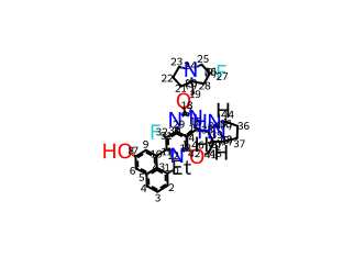 CCc1cccc2cc(O)cc(-c3nc4c5c(nc(OC[C@@]67CCCN6C[C@H](F)C7)nc5c3F)C3N[C@@H]5CC[C@H](N5)[C@@H]3CO4)c12